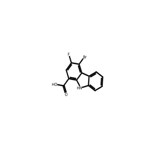 O=C(O)c1cc(F)c(Br)c2c1[nH]c1ccccc12